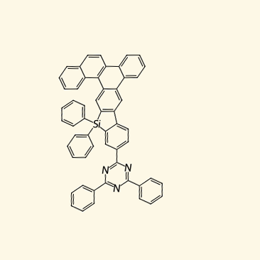 c1ccc(-c2nc(-c3ccccc3)nc(-c3ccc4c(c3)[Si](c3ccccc3)(c3ccccc3)c3cc5c(cc3-4)c3ccccc3c3ccc4ccccc4c35)n2)cc1